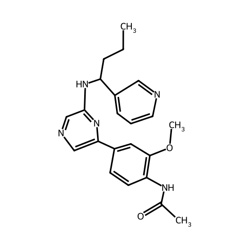 CCCC(Nc1cncc(-c2ccc(NC(C)=O)c(OC)c2)n1)c1cccnc1